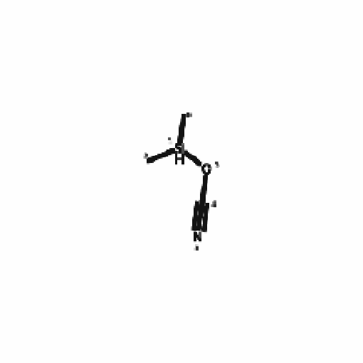 C[SiH](C)OC#N